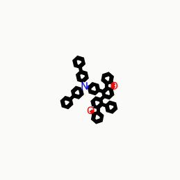 c1ccc(-c2ccc(N(c3ccc(-c4ccccc4)cc3)c3ccc(-c4c(-c5ccc6oc7ccccc7c6c5-c5ccccc5)ccc5oc6ccccc6c45)cc3)cc2)cc1